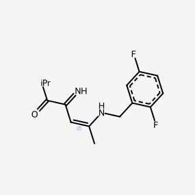 C/C(=C/C(=N)C(=O)C(C)C)NCc1cc(F)ccc1F